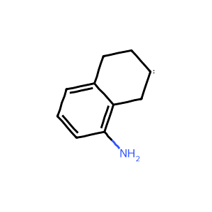 Nc1cccc2c1C[C]CC2